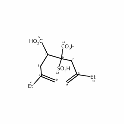 C=C(CC)CC(C(=O)O)C(CC(=C)CC)(C(=O)O)S(=O)(=O)O